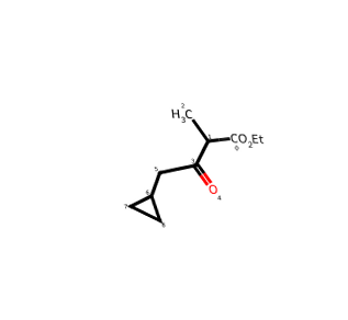 CCOC(=O)C(C)C(=O)CC1CC1